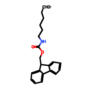 O=[C]CCCCCNC(=O)OCC1c2ccccc2-c2ccccc21